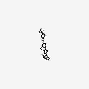 Cn1c2c(c3ccc(-n4ccc(OCc5ccc(C(F)(F)F)cn5)cc4=O)cc31)C1CCC(C2)N1